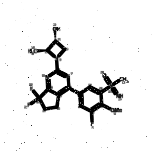 COc1c(F)cc(-c2nc(N3C[C@@H](O)[C@@H]3C)nc3c2CCC3(F)F)cc1S(C)(=N)=O